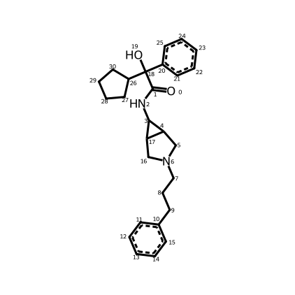 O=C(NC1C2CN(CCCc3ccccc3)CC21)C(O)(c1ccccc1)C1CCCC1